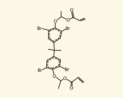 C=CC(=O)OC(C)Oc1c(Br)cc(C(C)(C)c2cc(Br)c(OC(C)OC(=O)C=C)c(Br)c2)cc1Br